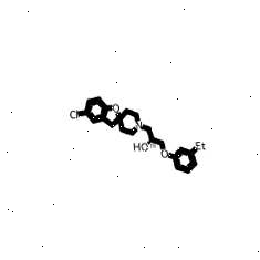 CCc1cccc(OC[C@@H](O)CN2CCC3(CC2)Cc2cc(Cl)ccc2O3)c1